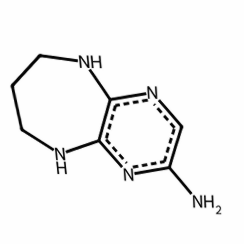 Nc1cnc2c(n1)NCCCN2